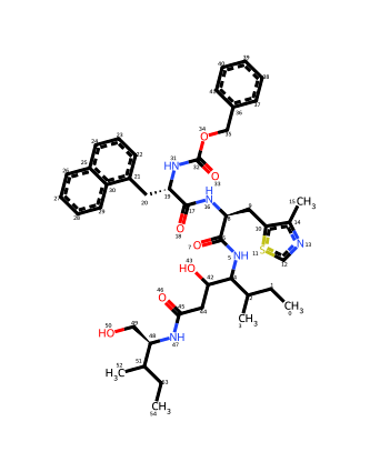 CCC(C)C(NC(=O)[C@H](Cc1scnc1C)NC(=O)[C@H](Cc1cccc2ccccc12)NC(=O)OCc1ccccc1)C(O)CC(=O)N[C@H](CO)C(C)CC